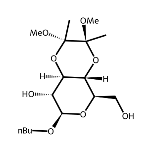 CCCCO[C@@H]1O[C@H](CO)[C@H]2O[C@](C)(OC)[C@@](C)(OC)O[C@@H]2[C@H]1O